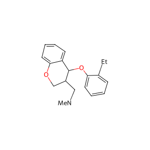 CCc1ccccc1OC1c2ccccc2OCC1CNC